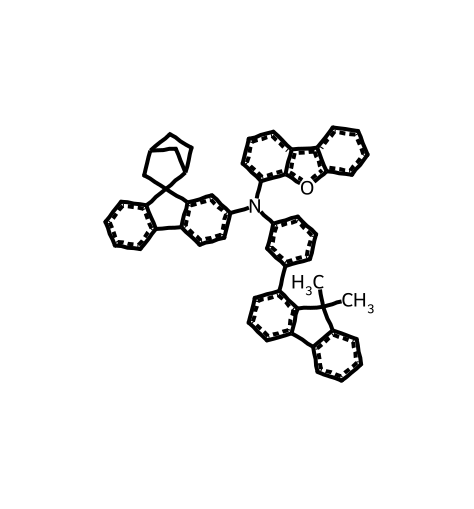 CC1(C)c2ccccc2-c2cccc(-c3cccc(N(c4ccc5c(c4)C4(CC6CCC4C6)c4ccccc4-5)c4cccc5c4oc4ccccc45)c3)c21